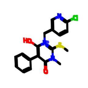 CSc1n(C)c(=O)c(-c2ccccc2)c(O)[n+]1Cc1ccc(Cl)nc1